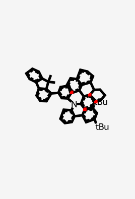 CC(C)(C)c1cc(-c2ccccc2N(c2cccc(-c3cccc4c3C(C)(C)c3ccccc3-4)c2)c2ccccc2-c2cccc3cccc(C4CCCCC4)c23)cc(C(C)(C)C)c1